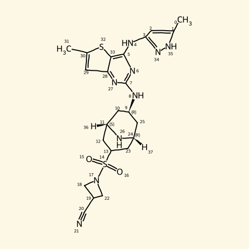 Cc1cc(Nc2nc(N[C@@H]3C[C@H]4CC(S(=O)(=O)N5CC(C#N)C5)C[C@@H](C3)N4)nc3cc(C)sc23)n[nH]1